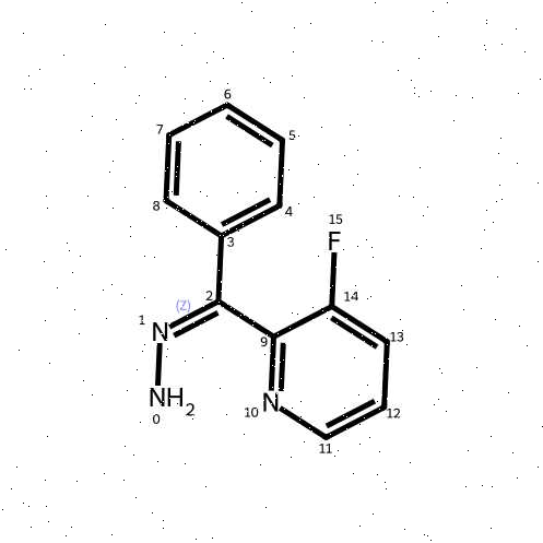 N/N=C(/c1ccccc1)c1ncccc1F